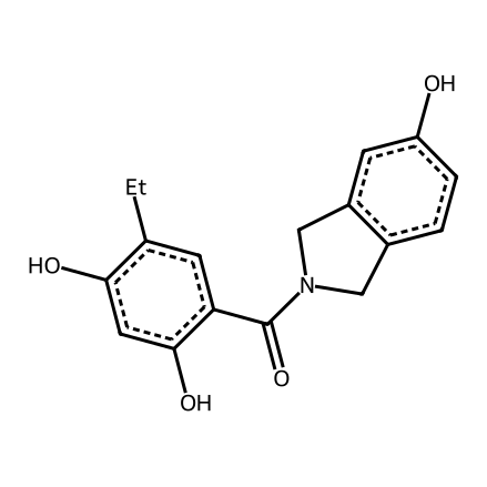 CCc1cc(C(=O)N2Cc3ccc(O)cc3C2)c(O)cc1O